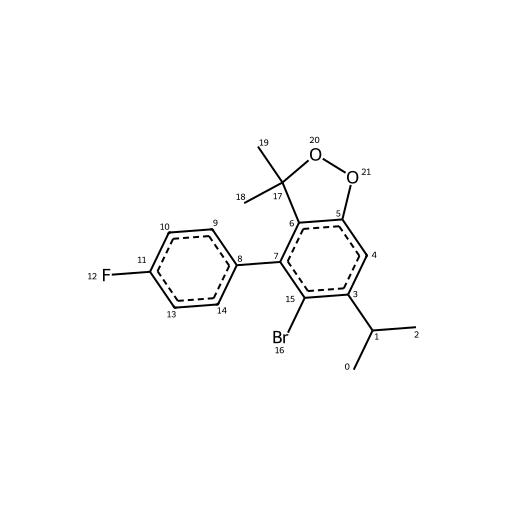 CC(C)c1cc2c(c(-c3ccc(F)cc3)c1Br)C(C)(C)OO2